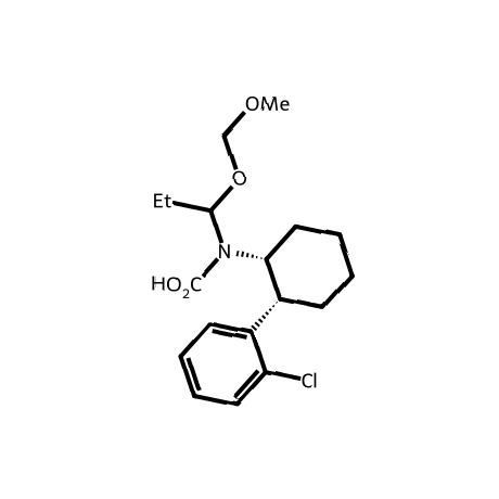 CCC(OCOC)N(C(=O)O)[C@@H]1CCCC[C@@H]1c1ccccc1Cl